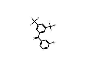 O=C(c1cccc(Br)c1)c1cc(C(F)(F)F)cc(C(F)(F)F)c1